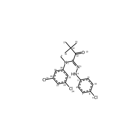 CN(C(=NNc1ccc(Cl)cc1)C(=O)C(C)(C)C)c1cc(Cl)cc(Cl)c1